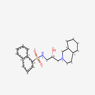 O=S(=O)(NC[C@H](O)CN1CCC2CCCCC2C1)c1cccc2ccccc12